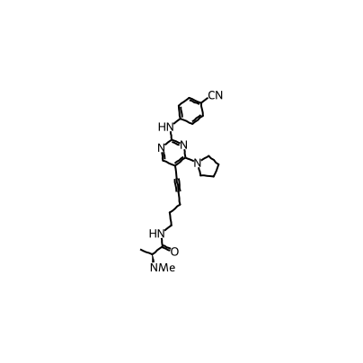 CN[C@@H](C)C(=O)NCCCC#Cc1cnc(Nc2ccc(C#N)cc2)nc1N1CCCC1